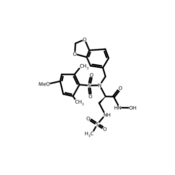 COc1cc(C)c(S(=O)(=O)N(Cc2ccc3c(c2)OCO3)[C@H](CNS(C)(=O)=O)C(=O)NO)c(C)c1